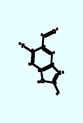 Cc1nc2cc(C=O)c(F)cc2o1